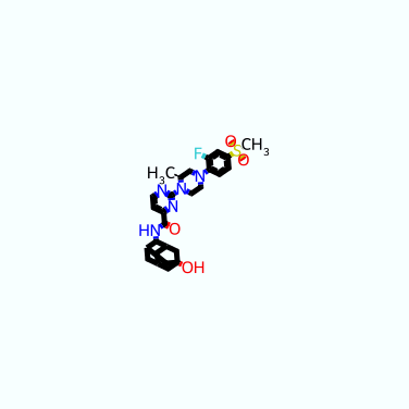 C[C@@H]1CN(c2ccc(S(C)(=O)=O)cc2F)CCN1c1nccc(C(=O)NC2C3CC4CC2CC(O)(C4)C3)n1